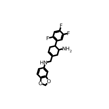 NC1CC(CNc2ccc3c(c2)OCO3)=CCC1c1cc(F)c(F)cc1F